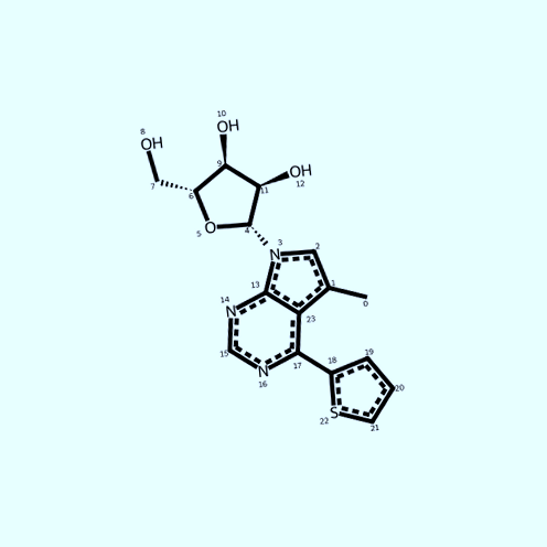 Cc1cn([C@@H]2O[C@H](CO)[C@@H](O)[C@H]2O)c2ncnc(-c3cccs3)c12